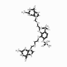 CS(=O)(=O)c1ccc(OP(=O)(O)O)c(OCCOCn2cnc3c(=O)[nH]c(N)nc32)c1OCCOCn1cnc2c(=O)[nH]c(N)nc21